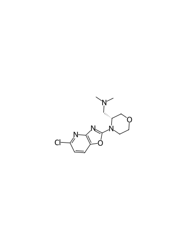 CN(C)C[C@@H]1COCCN1c1nc2nc(Cl)ccc2o1